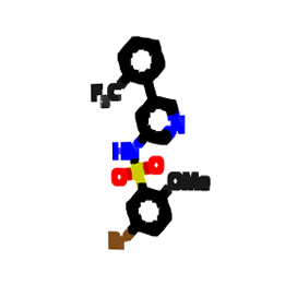 COc1ccc(Br)cc1S(=O)(=O)Nc1cncc(-c2ccccc2C(F)(F)F)c1